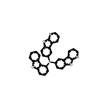 c1ccc2c(c1)oc1cccc(N(c3ccc4oc5ncccc5c4c3)c3ccc4oc5ncccc5c4c3)c12